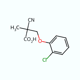 CC(C#N)(COc1ccccc1Cl)C(=O)O